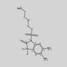 COCCOCCS(=O)(=O)N1C(=O)C(C)(C)c2cc(N)c([N+](=O)[O-])cc21